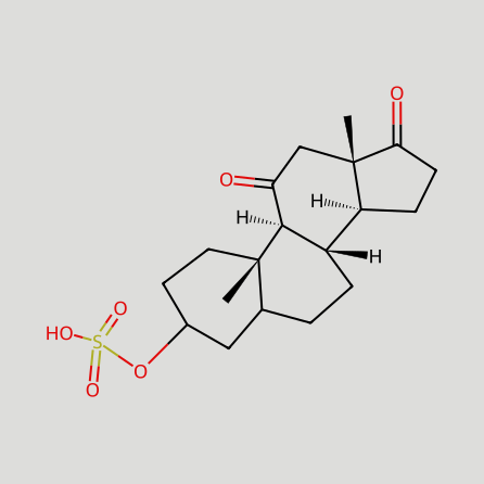 C[C@]12CCC(OS(=O)(=O)O)CC1CC[C@@H]1[C@@H]2C(=O)C[C@]2(C)C(=O)CC[C@@H]12